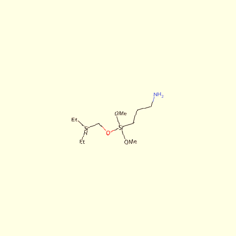 CC[SiH](CC)CO[Si](CCCN)(OC)OC